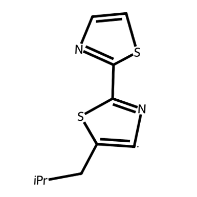 CC(C)Cc1[c]nc(-c2nccs2)s1